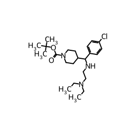 CCN(CC)CCNC(c1ccc(Cl)cc1)C1CCN(C(=O)OC(C)(C)C)CC1